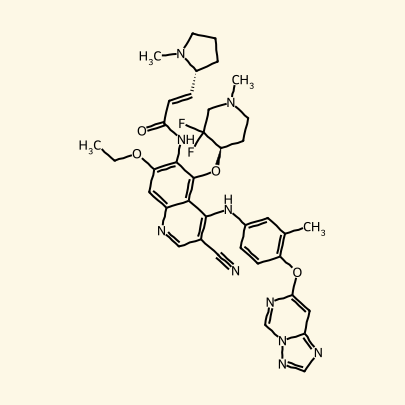 CCOc1cc2ncc(C#N)c(Nc3ccc(Oc4cc5ncnn5cn4)c(C)c3)c2c(O[C@@H]2CCN(C)CC2(F)F)c1NC(=O)/C=C/[C@H]1CCCN1C